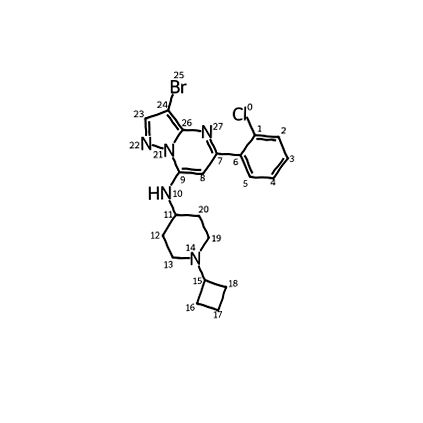 Clc1ccccc1-c1cc(NC2CCN(C3CCC3)CC2)n2ncc(Br)c2n1